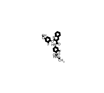 CONS(=O)(=O)c1ccc(NC(=O)c2cc3ccccc3nc2Oc2ccc(OC)cc2F)cc1F